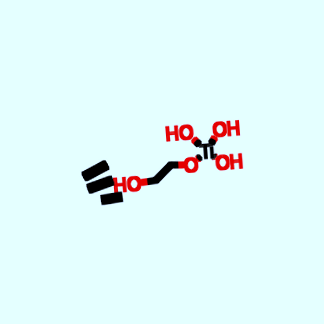 C=C.C=C.C=C.OCC[O][Ti]([OH])([OH])[OH]